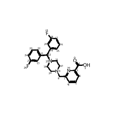 O=C(O)c1cccc(CN2CCN(C(c3cccc(F)c3)c3cccc(F)c3)CC2)n1